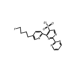 CCS(=O)(=O)c1cnc(-c2ncccn2)nc1-c1ccc(CCCCF)cn1